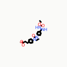 CCOC(=O)NC(=N)c1ccc(N2CCN(c3ccc(CCC(=O)OC)cc3)C2=O)cc1